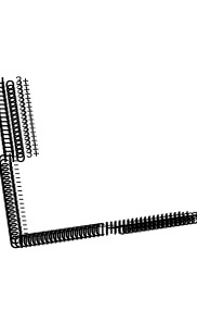 [Cl-].[Cl-].[Cl-].[Cl-].[Cl-].[Cl-].[Cl-].[Cl-].[Cl-].[Cl-].[Cl-].[Cl-].[Cl-].[Cl-].[Cl-].[Cl-].[Cl-].[Cl-].[Cl-].[Cl-].[Cl-].[Cl-].[Cl-].[Cl-].[Cl-].[Cl-].[Cl-].[Cl-].[Cl-].[Cl-].[Cl-].[Cl-].[Cl-].[Cl-].[Cl-].[Cl-].[Cl-].[Cl-].[Cl-].[Cl-].[Ho+3].[Ho+3].[Ho+3].[Ho+3].[Ho+3].[Ho+3].[Ho+3].[Ho+3].[Ho+3].[Ho+3].[Ho+3].[Ho+3].[Ho+3].[Ho+3].[Ho+3].[Ho+3].[Ho+3].[Ho+3].[Ho+3].[Ho+3].[Ho+3].[Ho+3].[Ho+3].[Ho+3].[Ho+3].[Ho+3].[Ho+3].[Ho+3].[Ho+3].[Ho+3].[Ho+3].[Ho+3].[Ho+3].[Ho+3].[Ho+3].[Ho+3]